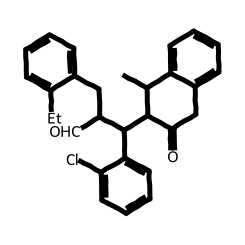 CCc1ccccc1CC(C=O)C(c1ccccc1Cl)C1C(=O)Cc2ccccc2C1C